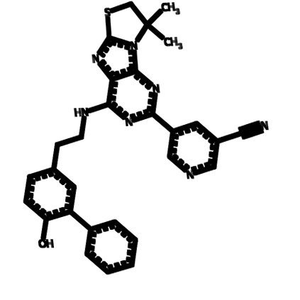 CC1(C)CSc2nc3c(NCCc4ccc(O)c(-c5ccccc5)c4)nc(-c4cncc(C#N)c4)nc3n21